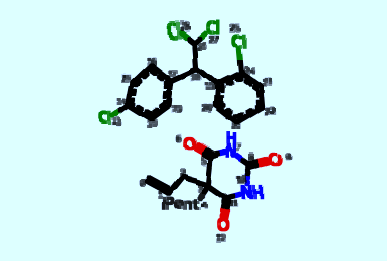 C=CCC1(C(C)CCC)C(=O)NC(=O)NC1=O.Clc1ccc(C(c2ccccc2Cl)C(Cl)Cl)cc1